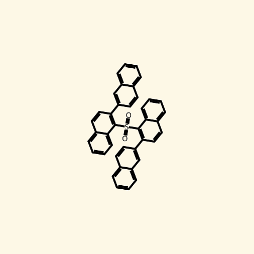 O=S(=O)(c1c(-c2ccc3ccccc3c2)ccc2ccccc12)c1c(-c2ccc3ccccc3c2)ccc2ccccc12